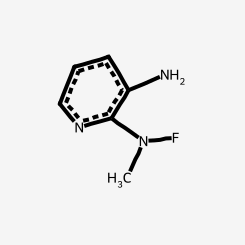 CN(F)c1ncccc1N